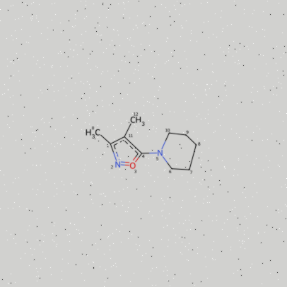 Cc1noc(N2CCCCC2)c1C